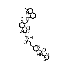 Cc1ccc2cccc(OCc3c(Cl)ccc(N(C)C(=O)CNC(=O)C=Cc4ccc(C(=O)Nc5nccs5)nc4)c3Cl)c2n1